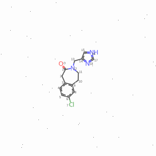 O=C1Cc2ccc(Cl)cc2CCN1Cc1c[nH]cn1